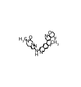 Cc1c(-c2cc3cc(Nc4cc5n(n4)CC(=O)N(C)CC5)ncc3cc2F)cnc2c1[C@@H](F)CCO2